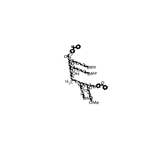 COCCOCCOCC(=O)OCC(COCC(COCC(C)COCC(O)COCC(COCC(COC(=O)COc1ccc(C(=O)c2ccccc2)cc1)OC(=O)COCCOCCOC)OC(=O)COCCOCCOC)OC(=O)COCCOCCOC)OC(=O)COc1ccc(C(=O)c2ccccc2)cc1